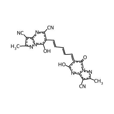 Cc1nn2c(O)c(C=CC=C/C=c3\c(O)nc4c(C#N)c(C)nn4c3=O)c(C#N)nc2c1C#N